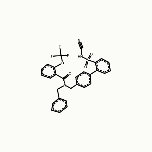 N#CNS(=O)(=O)c1ccccc1-c1ccc(CN(Cc2ccccc2)C(=O)c2ccccc2OC(F)(F)F)cc1